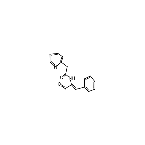 O=[C]C(=Cc1ccccc1)NC(=O)Cc1ccccn1